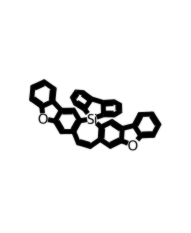 C1=Cc2cc3oc4ccccc4c3cc2[Si]2(c3cc4c(cc31)oc1ccccc14)c1ccccc1-c1ccccc12